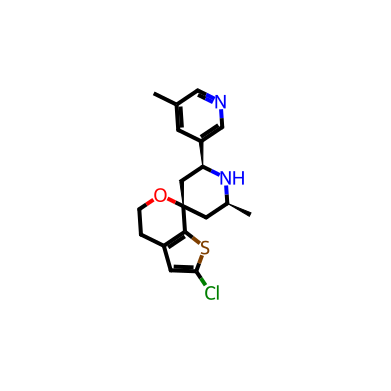 Cc1cncc([C@@H]2C[C@]3(C[C@H](C)N2)OCCc2cc(Cl)sc23)c1